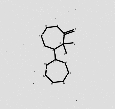 C=C1CCCC[C@H](C2CCCCCC2)C1(C)C